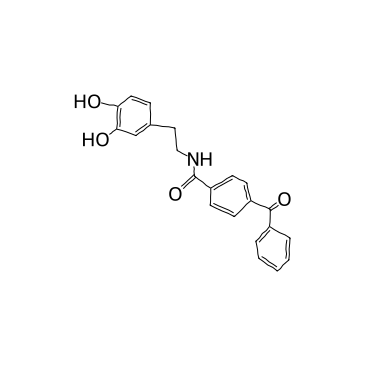 O=C(NCCc1ccc(O)c(O)c1)c1ccc(C(=O)c2ccccc2)cc1